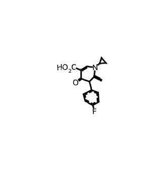 C=C1C(c2ccc(F)cc2)C(=O)C(C(=O)O)=CN1C1CC1